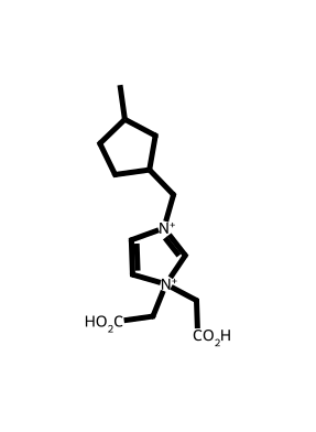 CC1CCC(C[N+]2=C[N+](CC(=O)O)(CC(=O)O)C=C2)C1